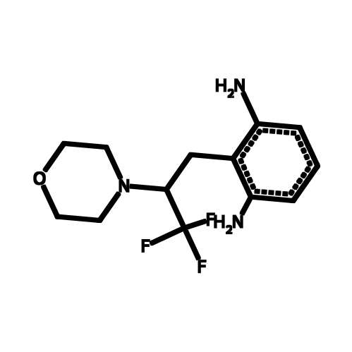 Nc1cccc(N)c1CC(N1CCOCC1)C(F)(F)F